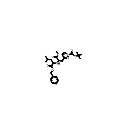 COC(=O)C(Cc1ccn(C(=O)OC(C)(C)C)n1)NC(CC(C)C)C(=O)OCc1ccccc1